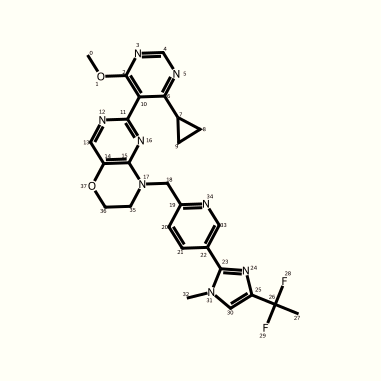 COc1ncnc(C2CC2)c1-c1ncc2c(n1)N(Cc1ccc(-c3nc(C(C)(F)F)cn3C)cn1)CCO2